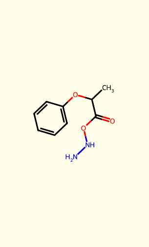 CC(Oc1ccccc1)C(=O)ONN